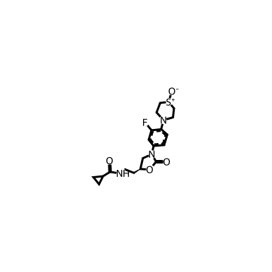 O=C(NCC[C@H]1CN(c2ccc(N3CC[S+]([O-])CC3)c(F)c2)C(=O)O1)C1CC1